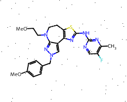 COCCN1CCc2sc(Nc3ncc(F)c(C)n3)nc2-c2cn(Cc3ccc(OC)cc3)nc21